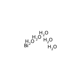 O.O.O.O.O.[Bi]